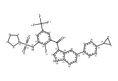 O=C(c1cc(C(F)(F)F)cc(NS(=O)(=O)N2CCCC2)c1F)c1c[nH]c2ncc(-c3cnc(C4CC4)nc3)cc12